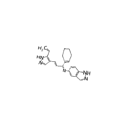 C=Cc1[nH]ncc1/C=C/C(=N/c1ccc2[nH]ncc2c1)C1=CCCCC1